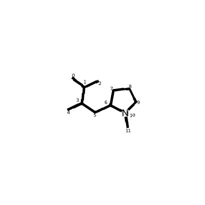 CC(C)C(C)CC1CCCN1C